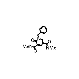 CNC(=O)c1cc(C(=O)NC)c(=O)n(Cc2ccccc2)c1